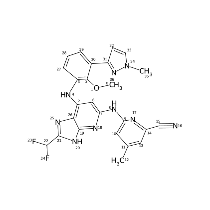 COc1c(Nc2cc(Nc3cc(C)cc(C#N)n3)nc3[nH]c(C(F)F)nc23)cccc1-c1ccn(C)n1